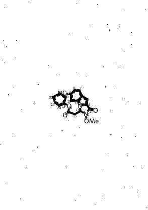 CON1C(=O)c2cc3ccc(C#N)cc3n2C1CC(=O)Oc1ccccc1